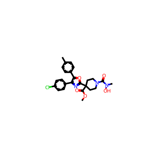 COC(=O)C1(c2nc(-c3ccc(Cl)cc3)c(-c3ccc(C)cc3)o2)CCN(C(=O)N(C)O)CC1